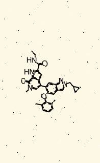 CCNC(=O)c1cc2c(-c3cc4nn(CC5CC5)cc4cc3Oc3c(C)cccc3C)cn(C)c(=O)c2[nH]1